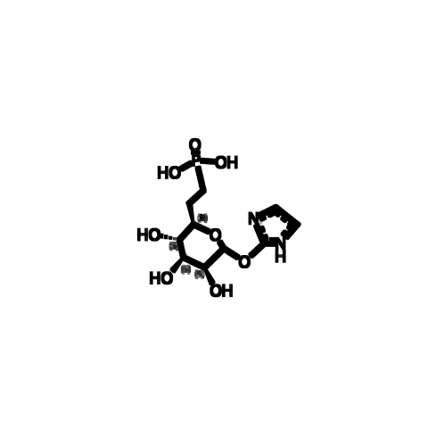 O=P(O)(O)CC[C@H]1OC(Oc2ncc[nH]2)[C@@H](O)[C@@H](O)[C@@H]1O